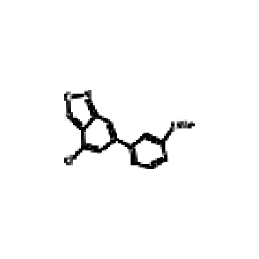 COc1cccc(-c2cc(Cl)c3nonc3c2)c1